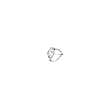 CC1(C)[C]2C=C[C]=C1C2